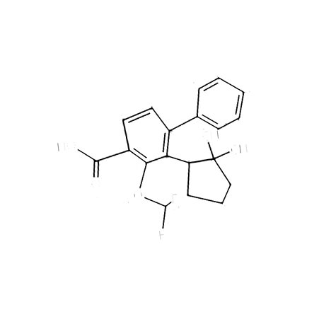 CC1(C)CCCC1c1c(-c2ccccc2)ccc(C(=O)O)c1OC(F)F